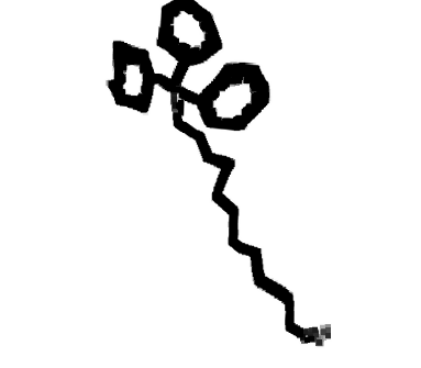 O=C(O)CCCCCCCCCCC[PH](c1ccccc1)(c1ccccc1)c1ccccc1